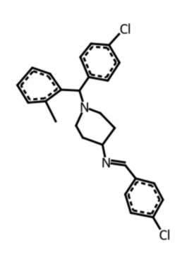 Cc1ccccc1C(c1ccc(Cl)cc1)N1CCC(/N=C/c2ccc(Cl)cc2)CC1